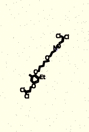 CCc1cc(OCC=C(Cl)Cl)cc(C)c1OCCCCCOCC/C=N/OCC=C(Cl)Cl